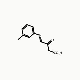 Cc1cccc(N=CC(=O)CC(=O)O)c1